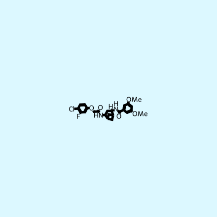 COc1cc(OC)cc(C(=O)N[C@@H]2CC(NC(=O)COc3ccc(Cl)c(F)c3)C3CC2C3)c1